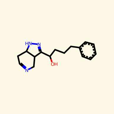 OC(CCCc1ccccc1)C1=NNC2CC=NCC12